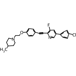 CC1CCN(CCOc2ccc(C#Cc3ncc(-c4ccc(Cl)cc4)cc3F)cc2)CC1